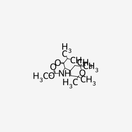 COC(=O)NC(C(=O)C(C)C)C1CC(C)(C)OC(C)(C)C1